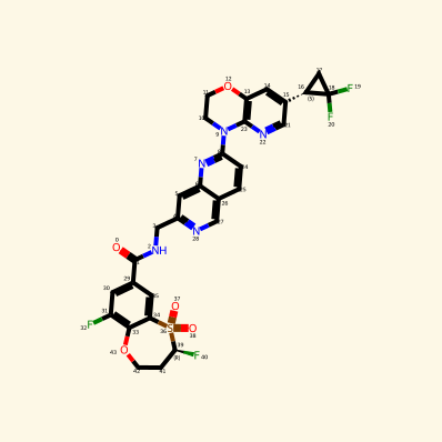 O=C(NCc1cc2nc(N3CCOc4cc([C@@H]5CC5(F)F)cnc43)ccc2cn1)c1cc(F)c2c(c1)S(=O)(=O)[C@@H](F)CCO2